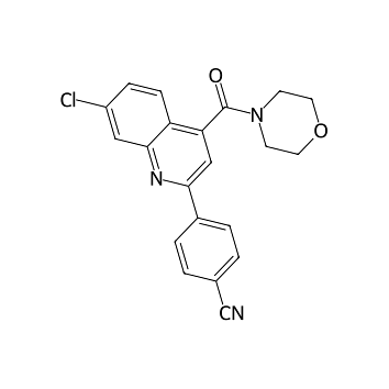 N#Cc1ccc(-c2cc(C(=O)N3CCOCC3)c3ccc(Cl)cc3n2)cc1